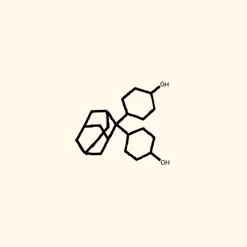 OC1CCC(C2(C3CCC(O)CC3)C3CC4CC(C3)CC2C4)CC1